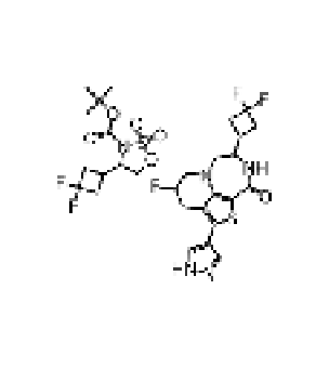 CC(C)(C)OC(=O)N1C(C2CC(F)(F)C2)COS1(=O)=O.O=C1NC(C2CC(F)(F)C2)CN2CC(F)Cc3c(-c4cn[nH]c4)sc1c32